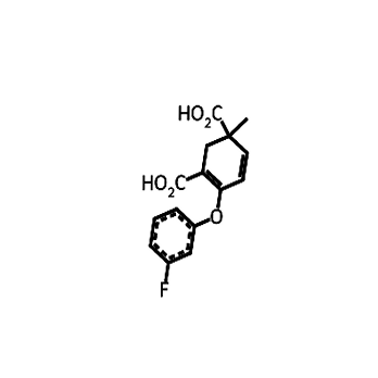 CC1(C(=O)O)C=CC(Oc2cccc(F)c2)=C(C(=O)O)C1